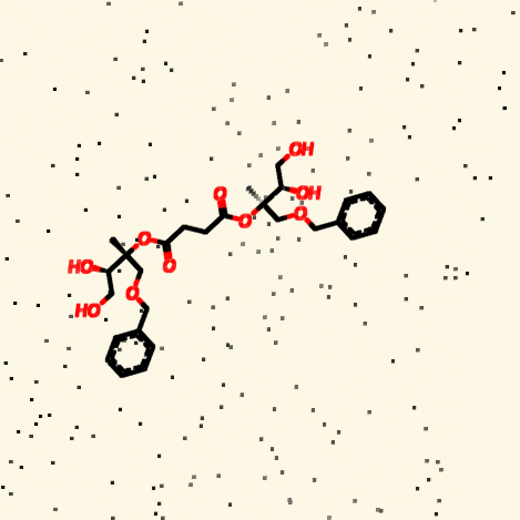 C[C@](COCc1ccccc1)(OC(=O)CCC(=O)O[C@](C)(COCc1ccccc1)[C@H](O)CO)[C@H](O)CO